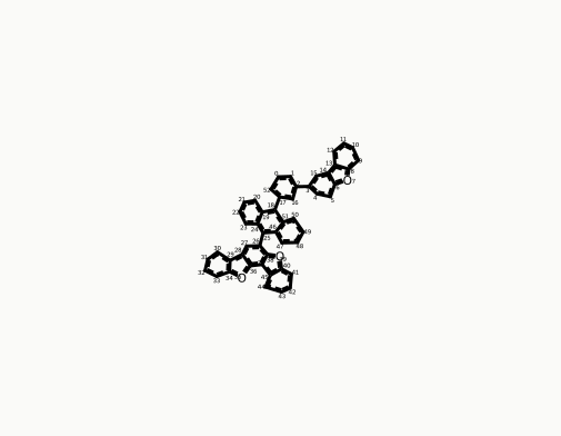 c1cc(-c2ccc3oc4ccccc4c3c2)cc(-c2c3ccccc3c(-c3cc4c5ccccc5oc4c4c3oc3ccccc34)c3ccccc23)c1